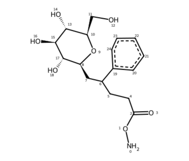 NOC(=O)CCC(C[C@@H]1O[C@H](CO)[C@@H](O)[C@H](O)[C@H]1O)c1ccccc1